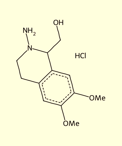 COc1cc2c(cc1OC)C(CO)N(N)CC2.Cl